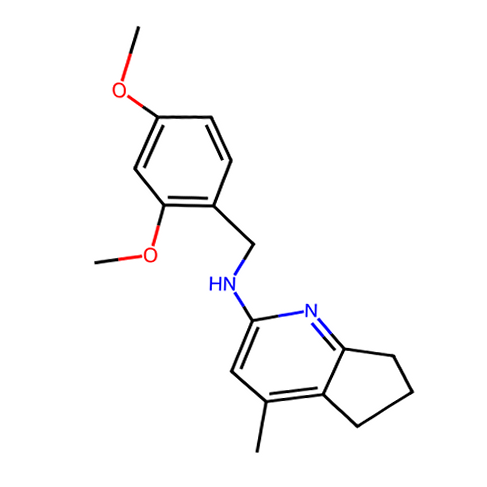 COc1ccc(CNc2cc(C)c3c(n2)CCC3)c(OC)c1